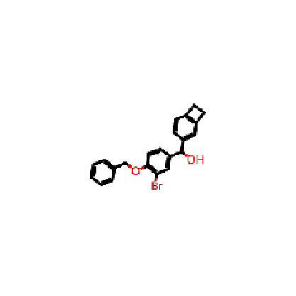 OC(c1ccc(OCc2ccccc2)c(Br)c1)c1ccc2c(c1)CC2